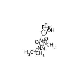 CC(C)Cn1cnc2c1c(=O)n(C[C@H]1CC[C@](O)(C(F)(F)F)CC1)c(=O)n2C